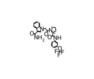 NC(=O)c1cn(CC(=O)N2CCC[C@H]2C(=O)Nc2cccc(OC(F)(F)F)c2)c2ccccc12